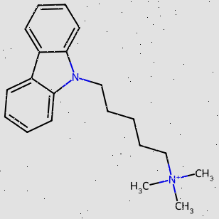 C[N+](C)(C)CCCCCn1c2ccccc2c2ccccc21